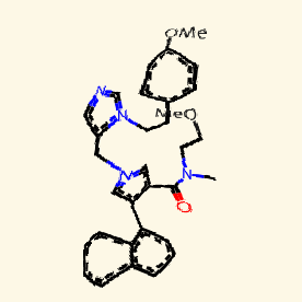 COCCN(C)C(=O)c1cn(Cc2cncn2CCc2ccc(OC)cc2)cc1-c1cccc2ccccc12